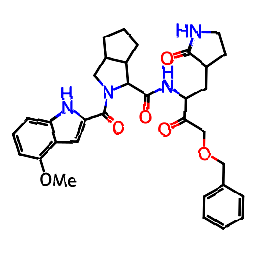 COc1cccc2[nH]c(C(=O)N3CC4CCCC4C3C(=O)NC(CC3CCNC3=O)C(=O)COCc3ccccc3)cc12